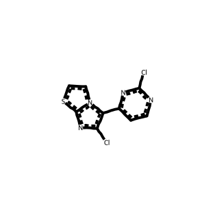 Clc1nccc(-c2c(Cl)nc3sccn23)n1